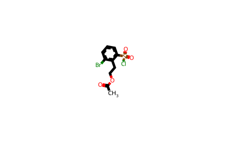 CC(=O)OCCc1c(Br)cccc1S(=O)(=O)Cl